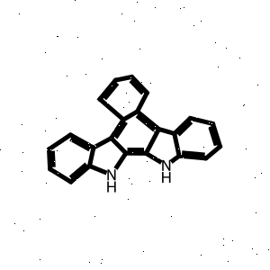 c1ccc2c(c1)[nH]c1c3[nH]c4ccccc4c3c3ccccc3c21